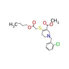 CCCCOC(=O)CSC1=C(C(=O)OC)CN(Cc2ccccc2Cl)CC1